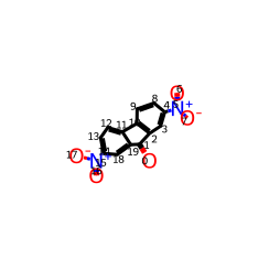 O=C1c2cc([N+](=O)[O-])ccc2-c2ccc([N+](=O)[O-])cc21